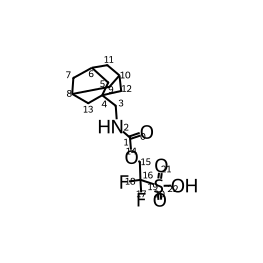 O=C(NCC12CC3CC(CC(C3)C1)C2)OCC(F)(F)S(=O)(=O)O